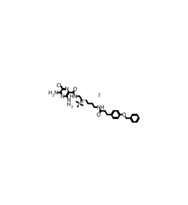 C[N+](C)(C)[C@@H](CCCCNC(=O)CCc1ccc(OCc2ccccc2)cc1)CNC(=O)c1nc(Cl)c(N)nc1N.[I-]